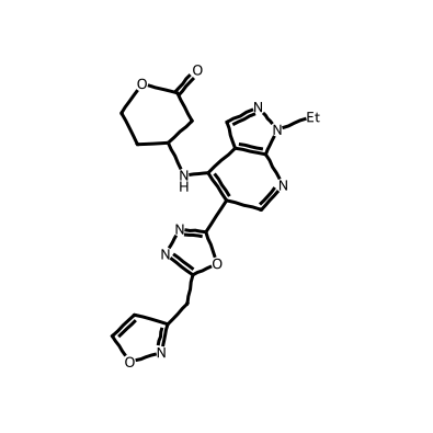 CCn1ncc2c(NC3CCOC(=O)C3)c(-c3nnc(Cc4ccon4)o3)cnc21